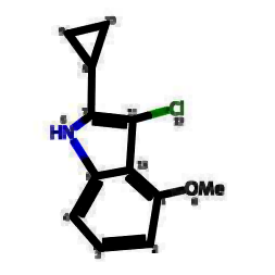 COc1c[c]cc2[nH]c(C3CC3)c(Cl)c12